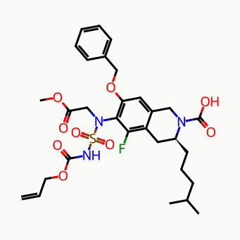 C=CCOC(=O)NS(=O)(=O)N(CC(=O)OC)c1c(OCc2ccccc2)cc2c(c1F)C[C@H](CCCC(C)C)N(C(=O)O)C2